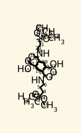 CO[Si](C)(CCCNC(=O)c1cc(C(=O)O)c(C(=O)NCCC[Si](C)(OC)OC)cc1C(=O)O)OC